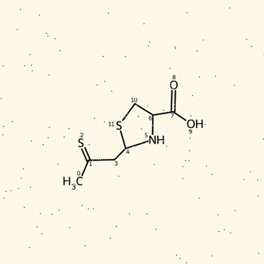 CC(=S)CC1NC(C(=O)O)CS1